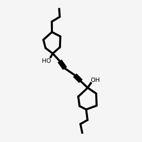 CCCC1CCC(O)(C#CC#CC2(O)CCC(CCC)CC2)CC1